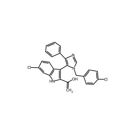 C=C(O)c1[nH]c2cc(Cl)ccc2c1-c1c(-c2ccccc2)ncn1Cc1ccc(Cl)cc1